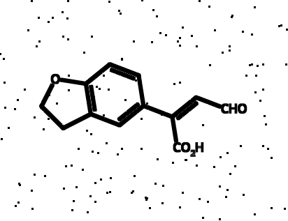 O=CC=C(C(=O)O)c1ccc2c(c1)CCO2